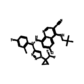 Cc1cc(F)ccc1[C@H](Nc1cc(Cl)cc2c(NCC(C)(C)C)c(C#N)cnc12)c1cn(C2(C(F)F)CC2)nn1